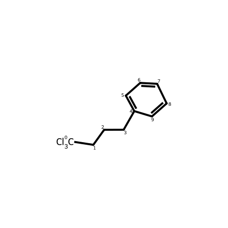 ClC(Cl)(Cl)CCCc1ccccc1